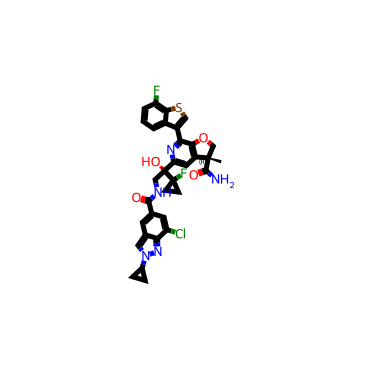 C[C@]1(C(N)=O)COc2c1cc([C@@](O)(CNC(=O)c1cc(Cl)c3nn(C4CC4)cc3c1)C1(F)CC1)nc2-c1csc2c(F)cccc12